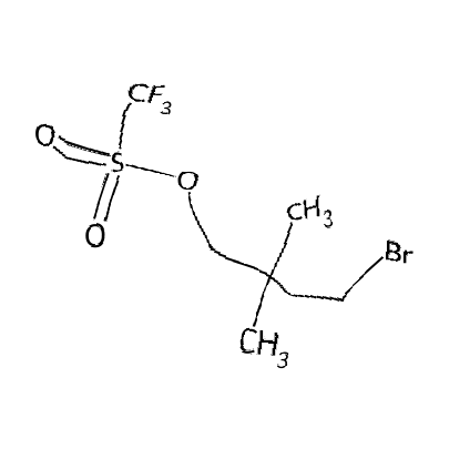 CC(C)(CBr)COS(=O)(=O)C(F)(F)F